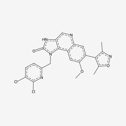 COc1cc2c(cc1-c1c(C)noc1C)ncc1[nH]c(=O)n(Cc3ccc(Cl)c(Cl)n3)c12